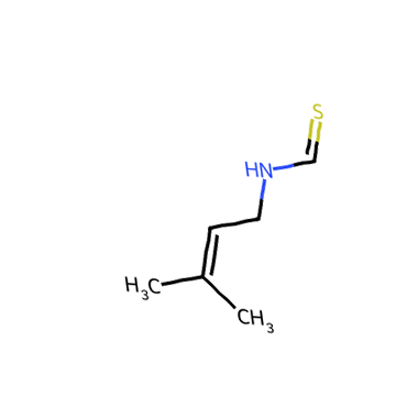 CC(C)=CCNC=S